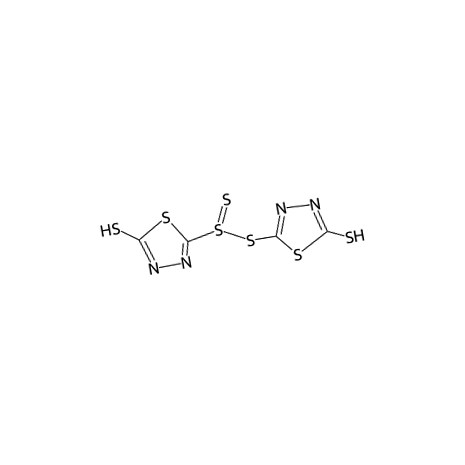 S=S(Sc1nnc(S)s1)c1nnc(S)s1